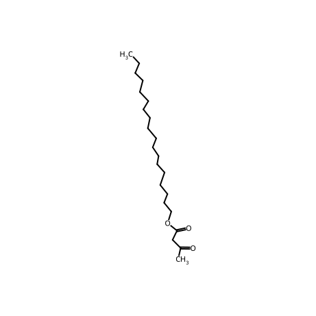 CCCCCCCCCCCCCCCCCCOC(=O)CC(C)=O